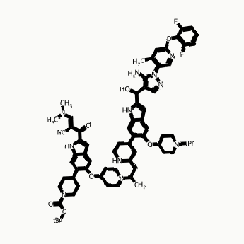 Cc1cc(Oc2c(F)cccc2F)ncc1-n1ncc(C(O)c2cc3cc(OC4CCN(C(C)C)CC4)c(C4CCNC(CC(C)N5CCC(Oc6cc7cc(C(=O)/C(C#N)=C/N(C)C)[nH]c7cc6C6CCN(C(=O)OC(C)(C)C)CC6)CC5)C4)cc3[nH]2)c1N